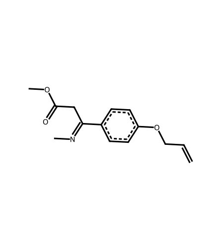 C=CCOc1ccc(C(CC(=O)OC)=NC)cc1